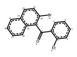 CCc1ccccc1C(=O)c1c(Br)ccc2ccccc12